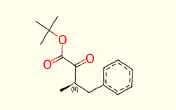 C[C@H](Cc1ccccc1)C(=O)C(=O)OC(C)(C)C